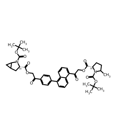 CC1CC[C@@H](C(=O)OCC(=O)c2cccc3c(-c4ccc(C(=O)COC(=O)[C@@H]5CC6CC6N5C(=O)OC(C)(C)C)cc4)cccc23)N1C(=O)OC(C)(C)C